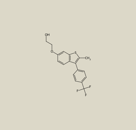 Cc1sc2cc(OCCO)ccc2c1-c1ccc(C(F)(F)F)cc1